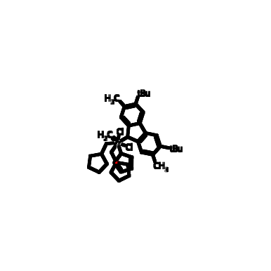 [CH2]=[Zr]([Cl])([Cl])([CH2]C1CCCC1)([CH2]C1CCCC1)([CH]1C=CC=C1)[CH]1c2cc(C)c(C(C)(C)C)cc2-c2cc(C(C)(C)C)c(C)cc21